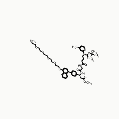 COC(=O)C[C@H](NC(=O)CNC(=O)CCCN(C(=O)OC(C)(C)C)c1cc(C)ccn1)c1ccc(-c2ccc(OCCOCCOCCOCCOCCN)c3ccccc23)cc1